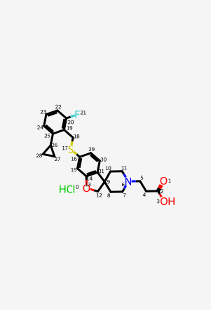 Cl.O=C(O)CCN1CCC2(CC1)COc1cc(SCc3c(F)cccc3C3CC3)ccc12